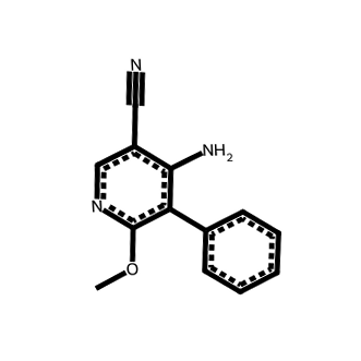 COc1ncc(C#N)c(N)c1-c1ccccc1